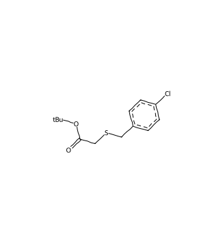 CC(C)(C)OC(=O)CSCc1ccc(Cl)cc1